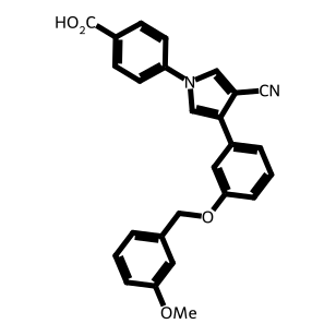 COc1cccc(COc2cccc(-c3cn(-c4ccc(C(=O)O)cc4)cc3C#N)c2)c1